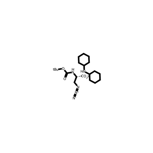 C1CCC(NC2CCCCC2)CC1.CC(C)(C)OC(=O)N[C@@H](CN=[N+]=[N-])C(=O)O